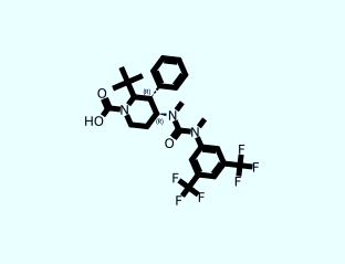 CN(C(=O)N(C)[C@@H]1CCN(C(=O)O)C(C(C)(C)C)[C@@H]1c1ccccc1)c1cc(C(F)(F)F)cc(C(F)(F)F)c1